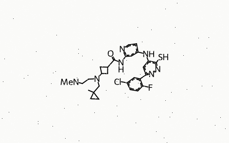 CNCCN(CC1(C)CC1)C1CC(C(=O)Nc2cc(Nc3cc(-c4cc(Cl)ccc4F)nnc3S)ccn2)C1